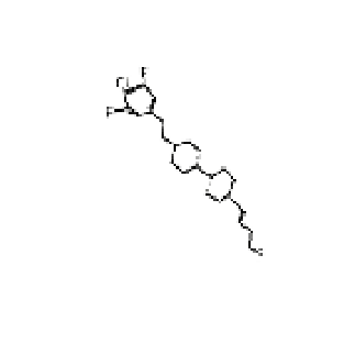 FCCC=C[C@H]1CC[C@H]([C@H]2CC[C@H](CCc3cc(F)c(Cl)c(F)c3)CC2)CC1